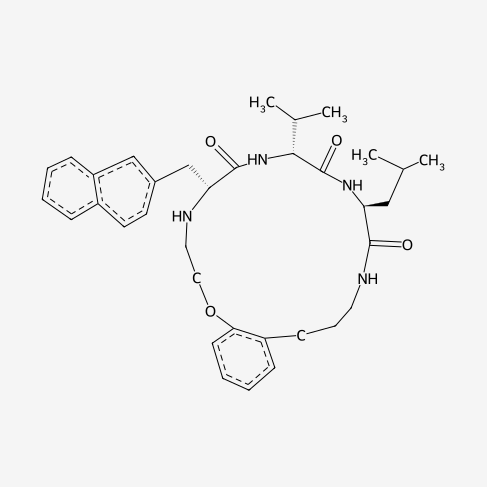 CC(C)C[C@@H]1NC(=O)[C@@H](C(C)C)NC(=O)[C@@H](Cc2ccc3ccccc3c2)NCCOc2ccccc2CCCNC1=O